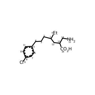 CCC(CCCc1ccc(Cl)cc1)CC(CN)C(=O)O